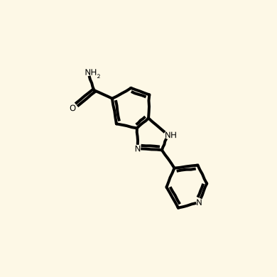 NC(=O)c1ccc2[nH]c(-c3ccncc3)nc2c1